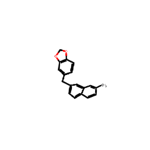 Cc1ccc2ccc(Cc3ccc4c(c3)OCO4)cc2c1